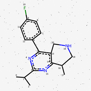 CC(C)c1nc(-c2ccc(F)cc2)c2c(n1)C(C)CNC2